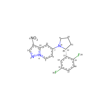 O=[N+]([O-])c1cnn2ccc(N3CCC[C@@H]3c3cc(F)ccc3F)cc12